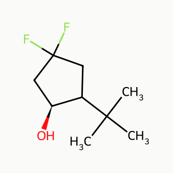 CC(C)(C)C1CC(F)(F)C[C@@H]1O